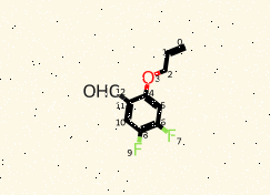 C=CCOc1cc(F)c(F)cc1C=O